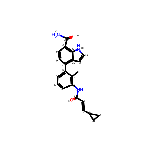 Cc1c(NC(=O)/C=C/C2CC2)cccc1-c1ccc(C(N)=O)c2[nH]ccc12